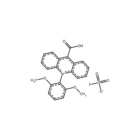 COc1cccc(OC)c1-[n+]1c2ccccc2c(C(=O)O)c2ccccc21.O=S(=O)([O-])F